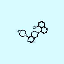 Clc1cccc2cccc(N3CCc4c(ncnc4N4CCNCC4)C3)c12